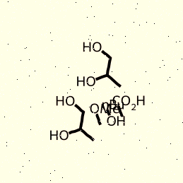 CC(=O)O.CC(O)CO.CC(O)CO.CCCCO.COC